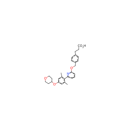 Cc1cc(OC2CCOCC2)cc(C)c1-c1cccc(OCc2ccc(CCC(=O)O)cc2)n1